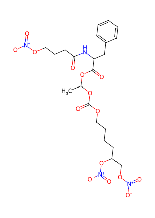 CC(OC(=O)OCCCCC(CO[N+](=O)[O-])O[N+](=O)[O-])OC(=O)C(Cc1ccccc1)NC(=O)CCCO[N+](=O)[O-]